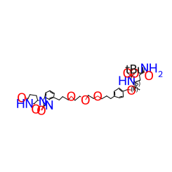 C[C@@H](OCc1ccc(CCCOCCOCCOCCCc2cccc3c2n(C)c(=O)n3C2CCC(=O)NC2=O)cc1)[C@H](CCC(N)=O)NC(=O)OC(C)(C)C